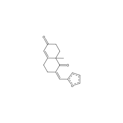 CC12CCC(=O)C=C1CC/C(=C/c1ccco1)C2=O